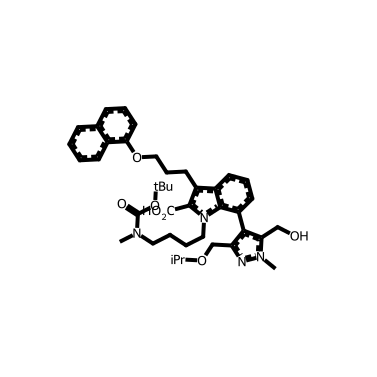 CC(C)OCc1nn(C)c(CO)c1-c1cccc2c(CCCOc3cccc4ccccc34)c(C(=O)O)n(CCCCN(C)C(=O)OC(C)(C)C)c12